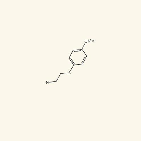 COc1ccc(SCC[N])cc1